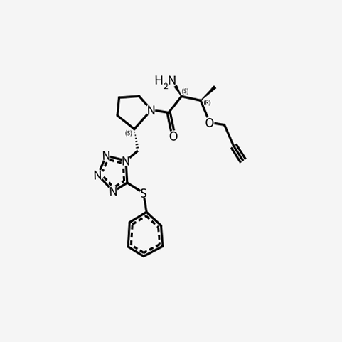 C#CCO[C@H](C)[C@H](N)C(=O)N1CCC[C@H]1Cn1nnnc1Sc1ccccc1